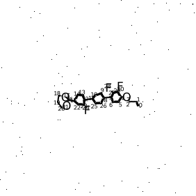 C=CCOc1ccc(-c2ccc(-c3ccc(C4OCCCO4)cc3F)cc2)c(F)c1F